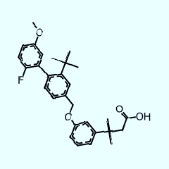 COc1ccc(F)c(-c2ccc(COc3cccc(C(C)(C)CC(=O)O)c3)cc2C(C)(C)C)c1